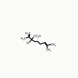 C=C(C)C(CC)(CCCC=C(C)C)C(=O)O